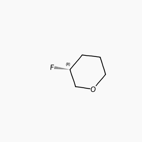 F[C@@H]1CCCOC1